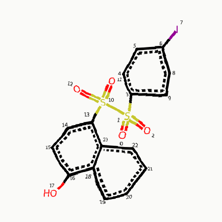 O=S(=O)(c1ccc(I)cc1)S(=O)(=O)c1ccc(O)c2ccccc12